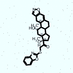 C[C@]12Cc3cnoc3C=C1CCC1C2[C@@H](O)C[C@@]2(C)C1CC[C@]2(O)C(=O)CSc1nc2ccccc2o1